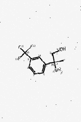 C[C@](N)(CO)c1cccc(C(F)(F)F)c1